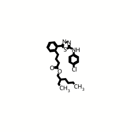 CCCCC(CC)COC(=O)CCCc1ccccc1-c1nnc(Nc2ccc(Cl)cc2)s1